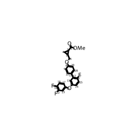 COC(=O)C1CC1COc1ccc(-c2cc(Oc3ccc(F)c(F)c3)ccc2F)cc1